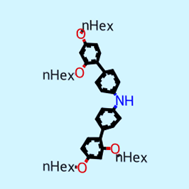 CCCCCCOc1ccc(-c2ccc(Nc3ccc(-c4ccc(OCCCCCC)cc4OCCCCCC)cc3)cc2)c(OCCCCCC)c1